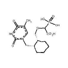 Cc1cn(C[C@H]2CCCC[C@H]2COC(C(=O)O)P(=O)(O)O)c(=O)[nH]c1=O